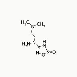 CN(C)CCN(N)C1=NOS(=O)N1